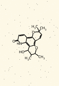 CC1Oc2c3c(c4ccc(=O)[nH]c4c2C(O)C1C)OC(C)(C)C=C3